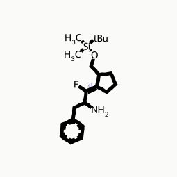 CC(C)(C)[Si](C)(C)OCC1CCC/C1=C(/F)C(N)Cc1ccccc1